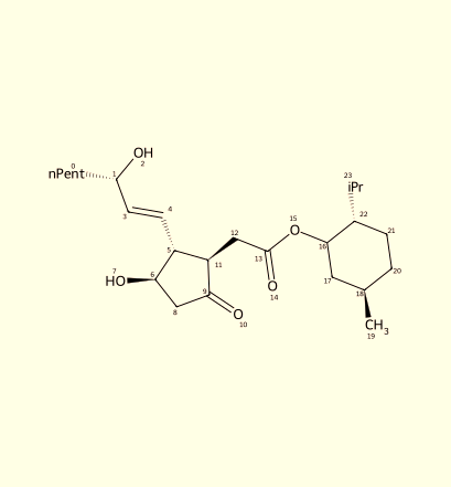 CCCCC[C@H](O)/C=C/[C@H]1[C@H](O)CC(=O)[C@@H]1CC(=O)OC1C[C@H](C)CC[C@H]1C(C)C